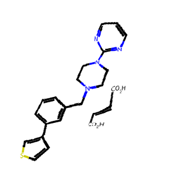 O=C(O)C=CC(=O)O.c1cnc(N2CCN(Cc3cccc(-c4ccsc4)c3)CC2)nc1